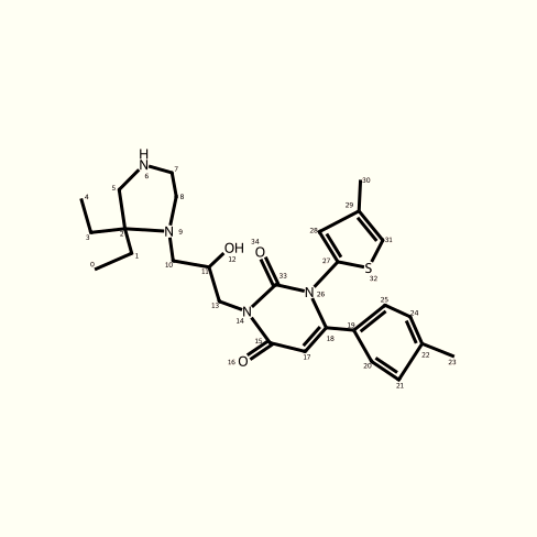 CCC1(CC)CNCCN1CC(O)Cn1c(=O)cc(-c2ccc(C)cc2)n(-c2cc(C)cs2)c1=O